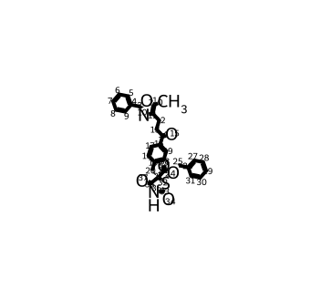 Cc1oc(-c2ccccc2)nc1CCC(=O)c1ccc(C[C@]2(C(=O)OCc3ccccc3)SC(=O)NC2=O)cc1